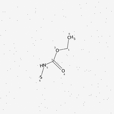 CCOC(=O)N[S]